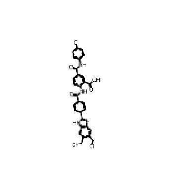 O=C(Nc1ccc(Cl)cc1)c1ccc(NC(=O)c2ccc(-c3nc4cc(CCl)c(CCl)cc4[nH]3)cc2)c(C(=O)O)c1